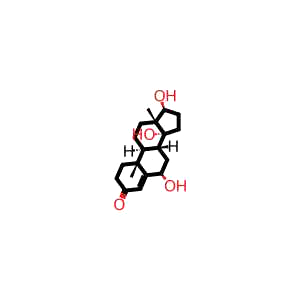 C[C@]12CCC(=O)C=C1[C@H](O)C[C@@H]1[C@@H]2CC[C@]2(C)[C@@H](O)CC[C@@]12O